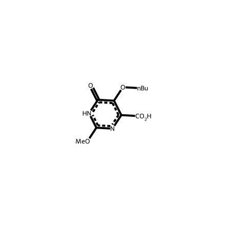 CCCCOc1c(C(=O)O)nc(OC)[nH]c1=O